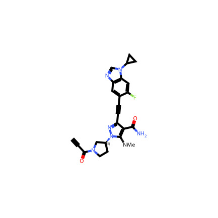 C#CC(=O)N1CC[C@H](n2nc(C#Cc3cc4ncn(C5CC5)c4cc3F)c(C(N)=O)c2NC)C1